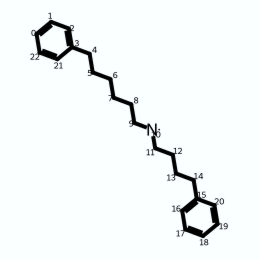 c1ccc(CCCCCC[N]CCCCc2ccccc2)cc1